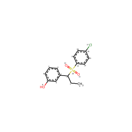 CCC(c1cccc(O)c1)S(=O)(=O)c1ccc(Cl)cc1